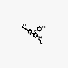 CCCCNc1ncc(-c2ccc(C#CCO)cn2)c(N[C@H]2CC[C@H](O)CC2)n1